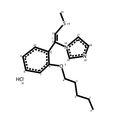 CCCCCOc1ccccc1/C(=C/SC)n1ccnc1.Cl